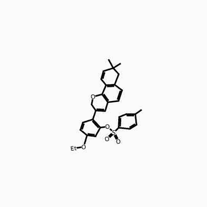 CCOc1ccc(C2=Cc3ccc4c(c3OC2)C=CC(C)(C)C4)c(OS(=O)(=O)c2ccc(C)cc2)c1